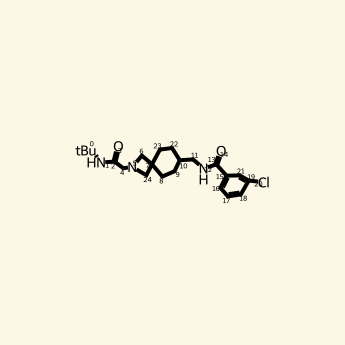 CC(C)(C)NC(=O)CN1CC2(CCC(CNC(=O)c3cccc(Cl)c3)CC2)C1